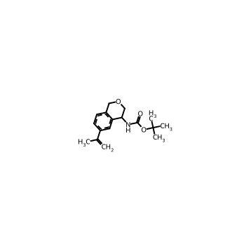 C=C(C)c1ccc2c(c1)C(NC(=O)OC(C)(C)C)COC2